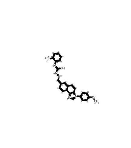 FC(F)(F)Oc1ccc(-n2cnc3c2C=CC2=CC(=CN=NC(S)=Nc4ccccc4C(F)(F)F)C=CC23)cc1